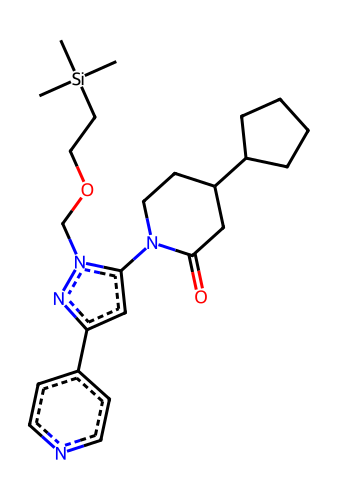 C[Si](C)(C)CCOCn1nc(-c2ccncc2)cc1N1CCC(C2CCCC2)CC1=O